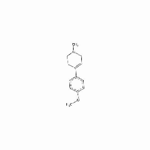 [CH2]N1CC=C(c2ccc(OC)cc2)CC1